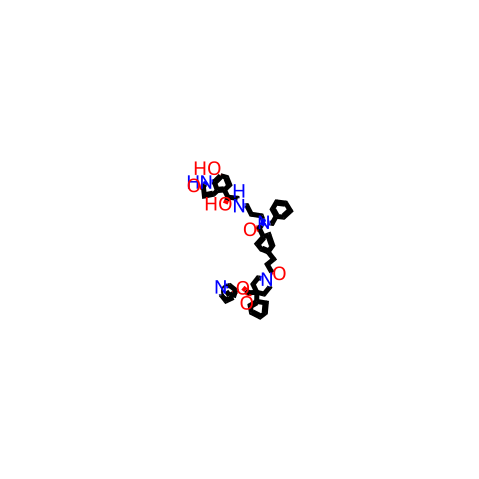 O=C(CCc1ccc(C(=O)N(CCCNCC(O)c2ccc(O)c3[nH]c(=O)ccc23)Cc2ccccc2)cc1)N1CCC(C(=O)OC2CN3CCC2CC3)(c2ccccc2)CC1